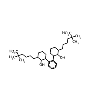 CC(C)(CCCCC1CCCC(c2ccccc2C2CCCC(CCCCC(C)(C)C(=O)O)C2O)C1O)C(=O)O